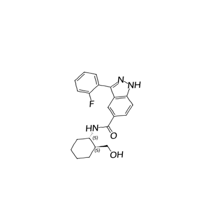 O=C(N[C@H]1CCCC[C@@H]1CO)c1ccc2[nH]nc(-c3ccccc3F)c2c1